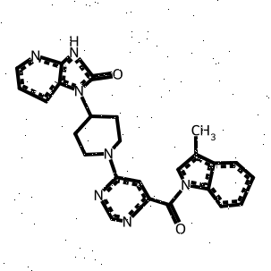 Cc1cn(C(=O)c2cc(N3CCC(n4c(=O)[nH]c5ncccc54)CC3)ncn2)c2ccccc12